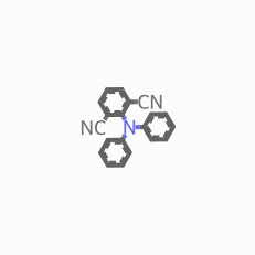 N#Cc1cccc(C#N)c1N(c1ccccc1)c1ccccc1